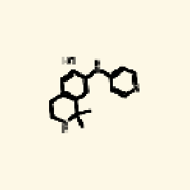 CC1(C)NCCc2ccc(Nc3ccncc3)cc21.Cl